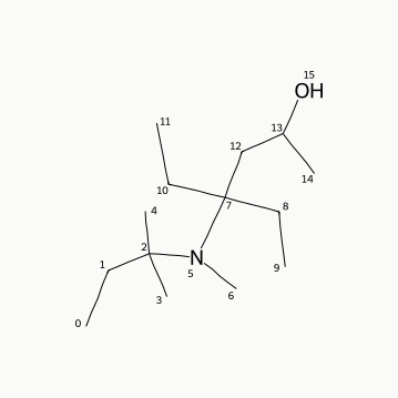 CCC(C)(C)N(C)C(CC)(CC)CC(C)O